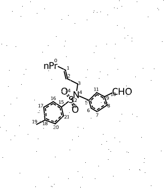 CCCC=CCN(c1cccc(C=O)c1)S(=O)(=O)c1ccc(C)cc1